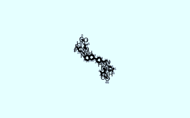 COC(=O)N[C@@H](C)C(=O)N1CC(F)(F)C[C@H]1c1nc2ccc3cc(-c4ccc(-c5cnc([C@@H]6C[Si](C)(C)CN6C(=O)[C@@H](NC(=O)OC)C(C)C)[nH]5)cc4)ccc3c2[nH]1